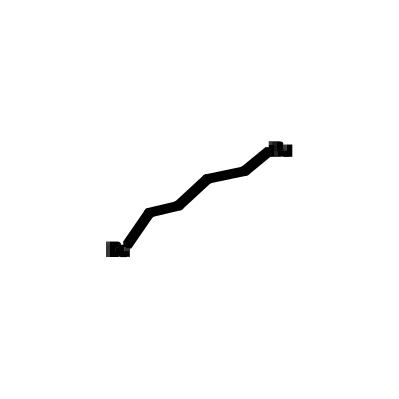 C[CH]C(C)CCCCC(C)CC